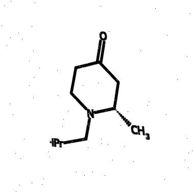 C[C](C)CN1CCC(=O)C[C@@H]1C